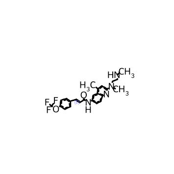 CNCCN(C)c1cc(C)c2cc(NC(=O)/C=C/c3ccc(OC(F)(F)F)cc3)ccc2n1